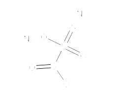 O=S([O-])S(=O)([O-])=S.[Na+].[Na+]